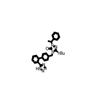 CCCCc1nn(C(C)c2ccccc2)c(=O)n1Cc1ccc(-c2ccccc2-c2nnn[nH]2)cc1